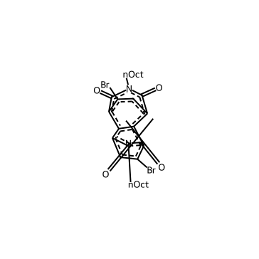 CCCCCCCCn1c(=O)c2cc(Br)c(c1=O)c1c3cc(Br)c(c(=O)n(CCCCCCCC)c3=O)c21